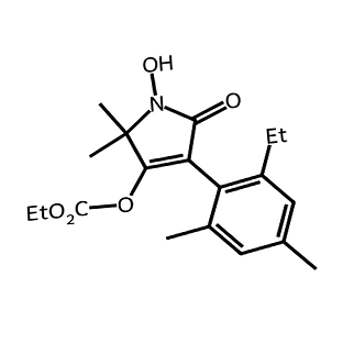 CCOC(=O)OC1=C(c2c(C)cc(C)cc2CC)C(=O)N(O)C1(C)C